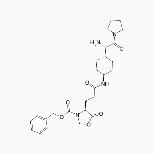 N[C@H](C(=O)N1CCCC1)[C@H]1CC[C@H](NC(=O)CC[C@H]2C(=O)OCN2C(=O)OCc2ccccc2)CC1